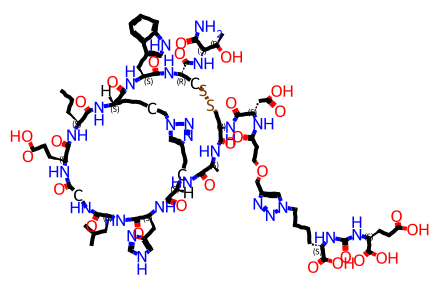 CCC[C@@H]1NC(=O)[C@H](CCC(=O)O)NC(=O)CNC(=O)[C@H](CC(C)C)NC(=O)[C@H](Cc2c[nH]cn2)NC(=O)[C@@H]2CCc3cn(nn3)CCCC[C@H](NC1=O)C(=O)N[C@@H](Cc1c[nH]c3ccccc13)C(=O)N[C@H](C(=O)N[C@H](C(N)=O)[C@@H](C)O)CSSC[C@H](NC(=O)[C@H](CC(=O)O)NC(=O)CCOCc1cn(CCCC[C@H](NC(=O)N[C@@H](CCC(=O)O)C(=O)O)C(=O)O)nn1)C(=O)N[C@@H](C)C(=O)N2